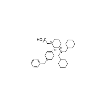 O=C(O)C[C@H]1CCC[C@@H](N(CC2CCCCC2)CC2CCCCC2)[C@@H]1C1=CCN(Cc2ccccc2)CC1